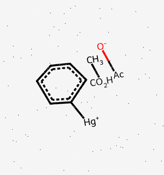 CC(=O)O.CC(=O)[O-].[Hg+][c]1ccccc1